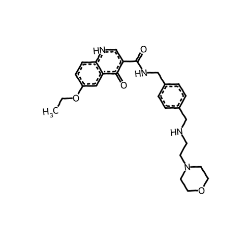 CCOc1ccc2[nH]cc(C(=O)NCc3ccc(CNCCN4CCOCC4)cc3)c(=O)c2c1